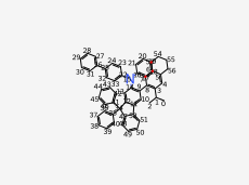 CC(C)c1cc2c(cc1-c1cc3c(cc1N(c1ccccc1)c1ccc(-c4ccccc4)cc1)C(c1ccccc1)(c1ccccc1)c1ccccc1-3)CCCC2